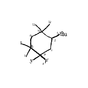 CC(C)(C)C1CC(F)(F)C(C)(C)CC1(C)C